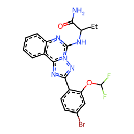 CCC(Nc1nc2ccccc2c2nc(-c3ccc(Br)cc3OC(F)F)nn12)C(N)=O